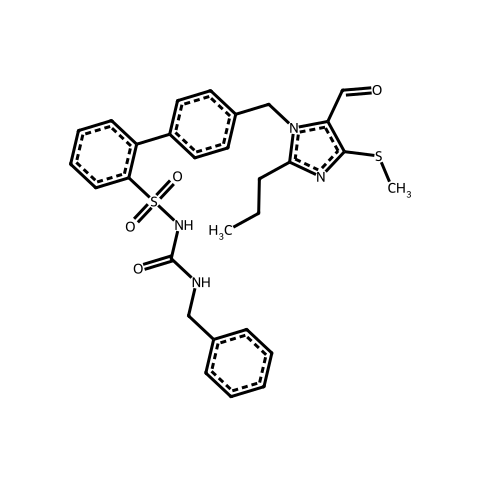 CCCc1nc(SC)c(C=O)n1Cc1ccc(-c2ccccc2S(=O)(=O)NC(=O)NCc2ccccc2)cc1